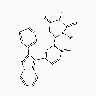 CCCn1c(-n2nc(-c3c(-c4ccccc4)nn4ccccc34)ccc2=O)cc(=O)n(CCC)c1=O